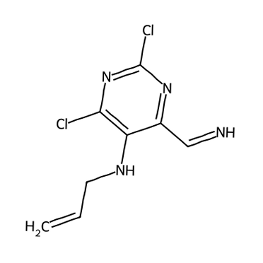 C=CCNc1c(Cl)nc(Cl)nc1C=N